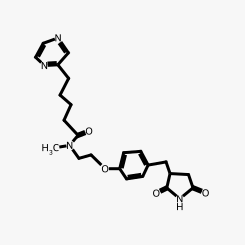 CN(CCOc1ccc(CC2CC(=O)NC2=O)cc1)C(=O)CCCCc1cnccn1